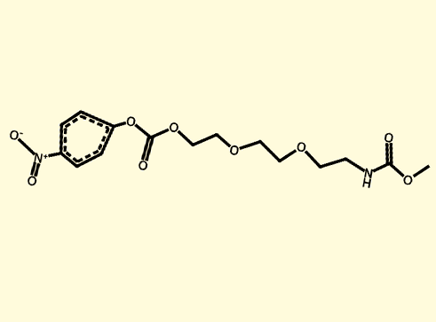 COC(=O)NCCOCCOCCOC(=O)Oc1ccc([N+](=O)[O-])cc1